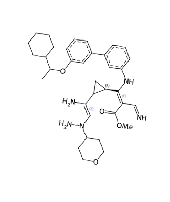 COC(=O)/C(C=N)=C(/Nc1cccc(-c2cccc(OC(C)C3CCCCC3)c2)c1)[C@@H]1CC1/C(N)=C/N(N)C1CCOCC1